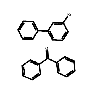 Brc1cccc(-c2ccccc2)c1.O=C(c1ccccc1)c1ccccc1